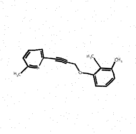 Cc1cccc(C#CCOc2cccc(C)c2C)n1